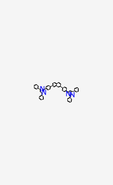 c1ccc(-c2cc(-c3ccc(-c4ccc5ccc(-c6ccc(-c7nc(-c8ccccc8)cc(-c8ccccc8)n7)cc6)cc5c4)cc3)nc(-c3ccccc3)n2)cc1